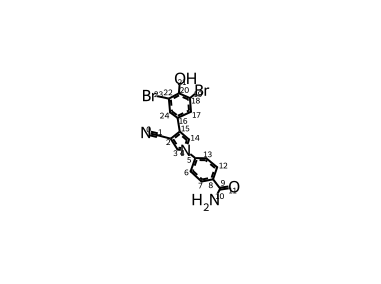 N#Cc1cn(-c2ccc(C(N)=O)cc2)cc1-c1cc(Br)c(O)c(Br)c1